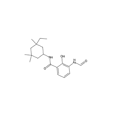 CCC1(C)CC(NC(=O)c2cccc([AsH]C=O)c2O)CC(C)(C)C1